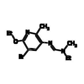 CCOc1nc(C)c(/N=C/N(C)CC)cc1Br